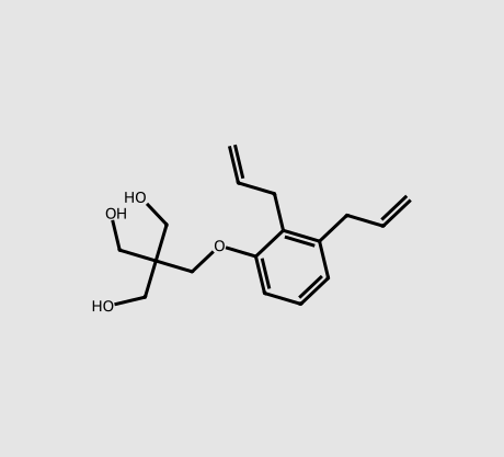 C=CCc1cccc(OCC(CO)(CO)CO)c1CC=C